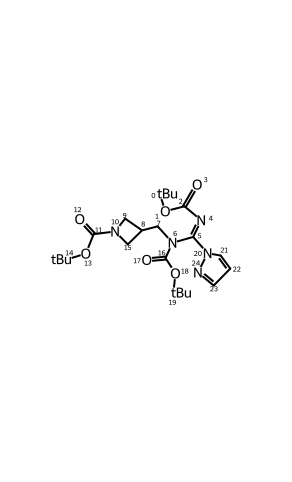 CC(C)(C)OC(=O)N=C(N(CC1CN(C(=O)OC(C)(C)C)C1)C(=O)OC(C)(C)C)n1cccn1